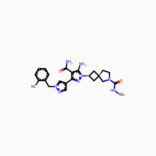 CC(C)(C)NC(=O)N1CC[C@]2(C1)C[C@H](n1nc(-c3cnn(Cc4ccccc4C#N)c3)c(C(N)=O)c1N)C2